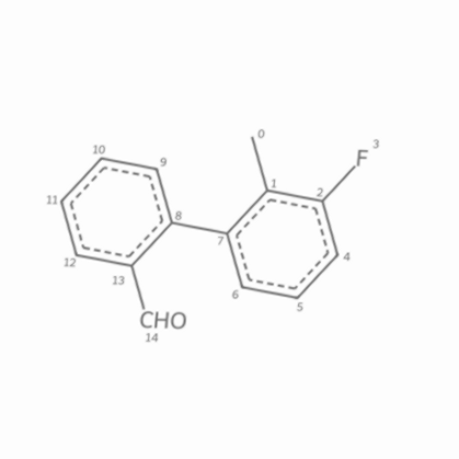 Cc1c(F)cccc1-c1ccccc1C=O